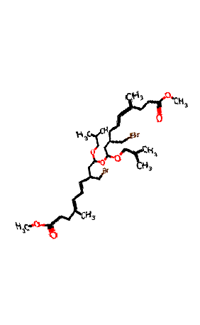 COC(=O)CCC(C)=CCCC(CBr)CC(OCC(C)C)OC(CC(CBr)CCC=C(C)CCC(=O)OC)OCC(C)C